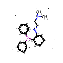 CN(C)CCN(C)c1ccccc1P(c1ccccc1)c1ccccc1